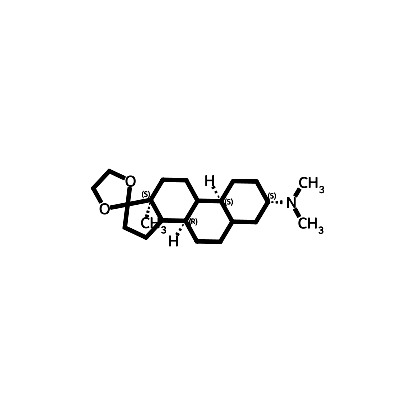 CN(C)[C@H]1CC[C@H]2C(CC[C@@H]3C2CC[C@@]2(C)C3CCC23OCCO3)C1